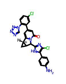 Nc1ccc(-c2[nH]c(C3C4C[C@@H]4c4cc(-c5cc(Cl)ccc5-n5cnnn5)cc(=O)n43)nc2Cl)cc1